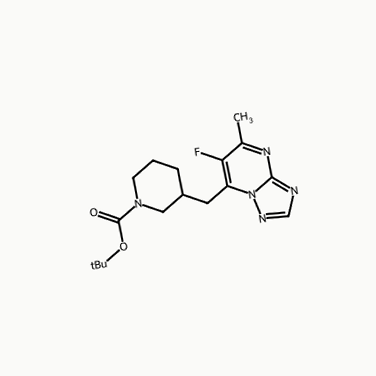 Cc1nc2ncnn2c(CC2CCCN(C(=O)OC(C)(C)C)C2)c1F